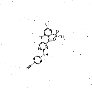 CS(=O)(=O)c1cc(Cl)cc(Cl)c1Nc1ccnc(Nc2ccc(C#N)cc2)n1